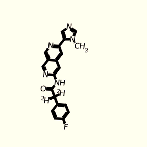 [2H]C([2H])(C(=O)Nc1cc2cc(-c3cncn3C)ncc2cn1)c1ccc(F)cc1